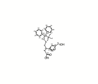 CC(C)(C)[Si](OCCC(CC(=O)O)c1cc(CO)on1)(c1ccccc1)c1ccccc1